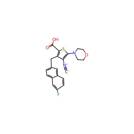 [C-]#[N+]c1c(N2CCOCC2)sc(C(=O)O)c1Cc1ccc2cc(F)ccc2c1